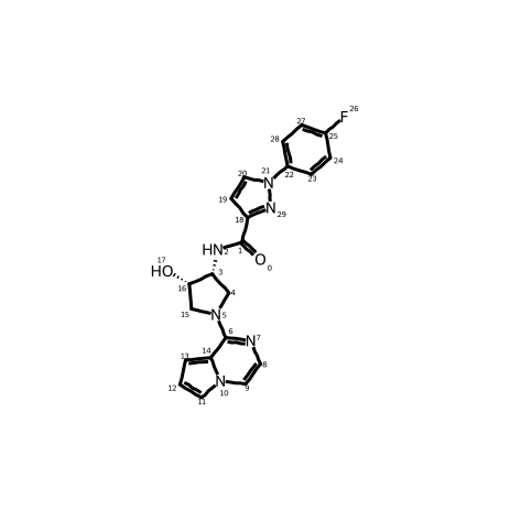 O=C(N[C@@H]1CN(c2nccn3cccc23)C[C@@H]1O)c1ccn(-c2ccc(F)cc2)n1